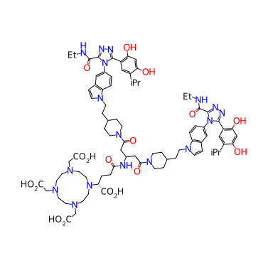 CCNC(=O)c1nnc(-c2cc(C(C)C)c(O)cc2O)n1-c1ccc2c(ccn2CCC2CCN(C(=O)CC(CC(=O)N3CCC(CCn4ccc5cc(-n6c(C(=O)NCC)nnc6-c6cc(C(C)C)c(O)cc6O)ccc54)CC3)NC(=O)CC[C@H](C(=O)O)N3CCN(CC(=O)O)CCN(CC(=O)O)CCN(CC(=O)O)CC3)CC2)c1